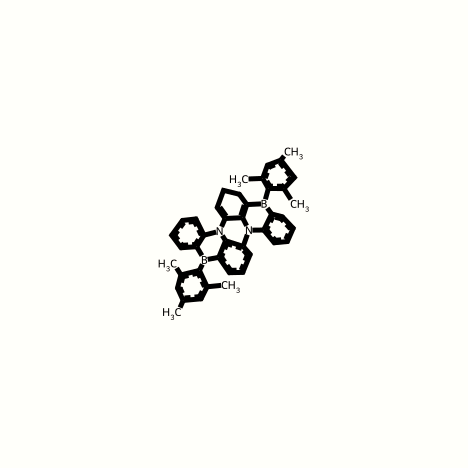 Cc1cc(C)c(B2C3=C4C(=CCC3)N3c5ccccc5B(c5c(C)cc(C)cc5C)c5cccc(c53)N4c3ccccc32)c(C)c1